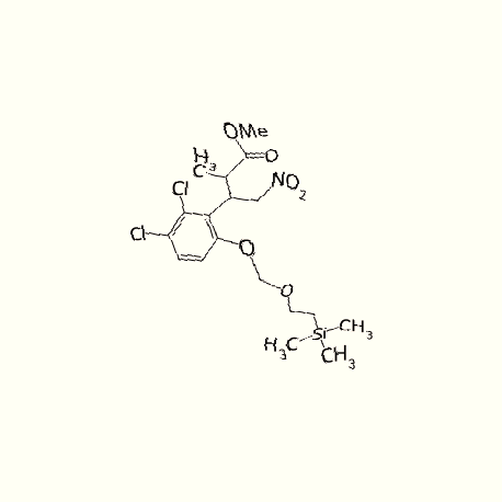 COC(=O)C(C)C(C[N+](=O)[O-])c1c(OCOCC[Si](C)(C)C)ccc(Cl)c1Cl